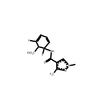 CCOC(=O)C1C(F)=CC=CC1(F)NC(=O)c1cn(C)nc1C(F)(F)F